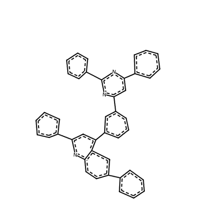 c1ccc(-c2ccc3nc(-c4ccccc4)cc(-c4cccc(-c5cc(-c6ccccc6)nc(-c6ccccc6)n5)c4)c3c2)cc1